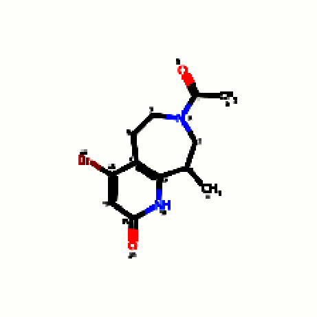 CC1CN(C(=O)C(F)(F)F)CCc2c(Br)cc(=O)[nH]c21